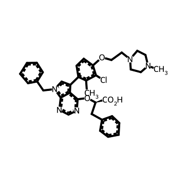 Cc1c(-c2cn(Cc3ccccc3)c3ncnc(O[C@H](Cc4ccccc4)C(=O)O)c23)ccc(OCCN2CCN(C)CC2)c1Cl